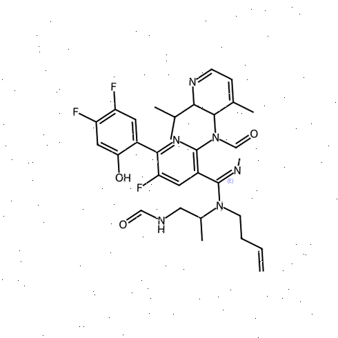 C=CCCN(/C(=N/C)c1cc(F)c(-c2cc(F)c(F)cc2O)nc1N(C=O)C1C(C)=CC=NC1C(C)C)C(C)CNC=O